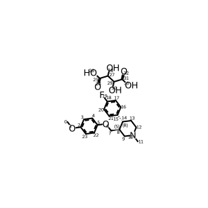 COc1ccc(OC[C@@H]2CN(C)CC[C@H]2c2ccc(F)cc2)cc1.O=C(O)C(O)C(O)C(=O)O